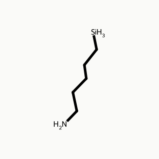 NCCCCC[SiH3]